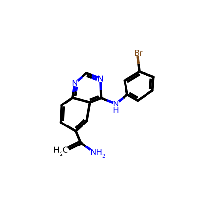 C=C(N)c1ccc2ncnc(Nc3cccc(Br)c3)c2c1